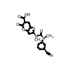 CN(C(=O)N(C)c1cc2oc(=O)c(C(=O)O)cc2s1)c1cccc(C#N)c1